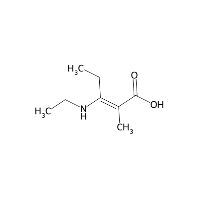 CCN/C(CC)=C(\C)C(=O)O